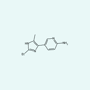 CCc1nc(-c2ccc(N)nc2)c(C)[nH]1